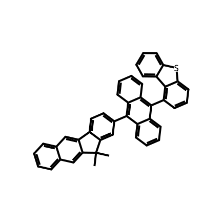 CC1(C)c2cc(-c3c4ccccc4c(-c4cccc5sc6ccccc6c45)c4ccccc34)ccc2-c2cc3ccccc3cc21